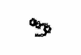 COCc1cc(NC2=NC[C@@]3(CN4CCC3CC4)O2)ncn1